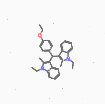 CCOc1ccc(C(c2c(C)n(CC)c3ccccc23)c2c(C)n(CC)c3ccccc23)cc1